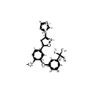 Cc1ccc(C2CC(n3ccnc3)=NO2)cc1Oc1cccc(C(F)(F)F)c1